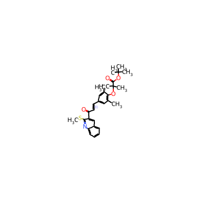 CSc1nc2ccccc2cc1C(=O)/C=C/c1cc(C)c(OC(C)(C)C(=O)OC(C)(C)C)c(C)c1